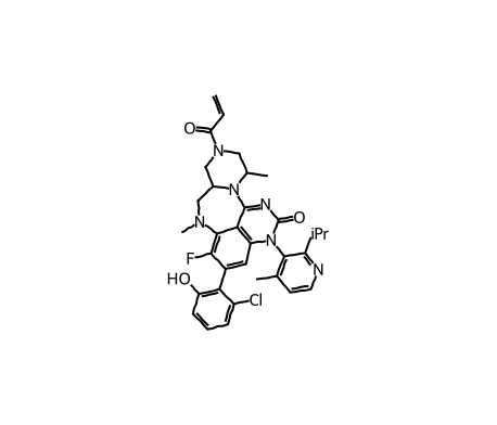 C=CC(=O)N1CC(C)N2c3nc(=O)n(-c4c(C)ccnc4C(C)C)c4cc(-c5c(O)cccc5Cl)c(F)c(c34)N(C)CC2C1